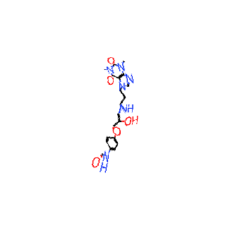 Cn1c(=O)c2c(ncn2CCCNCC(O)COc2ccc(NC=O)cc2)n(C)c1=O